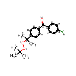 CC(C)(C)OOC(C)(C)c1ccc(C(=O)c2ccc(Cl)cc2)cc1